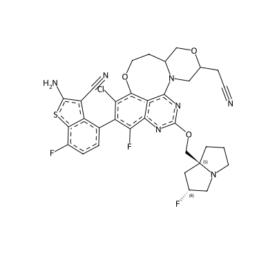 N#CCC1CN2c3nc(OC[C@@]45CCCN4C[C@H](F)C5)nc4c(F)c(-c5ccc(F)c6sc(N)c(C#N)c56)c(Cl)c(c34)OCCC2CO1